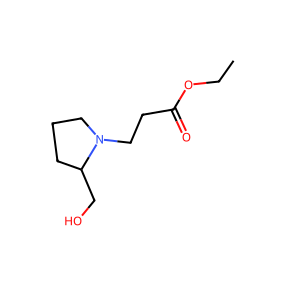 CCOC(=O)CCN1CCCC1CO